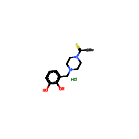 CSC(=S)N1CCN(Cc2cccc(O)c2O)CC1.Cl